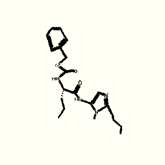 CCCCc1ncc(NC(=O)[C@H](CCC)NC(=O)OCc2ccccc2)n1C